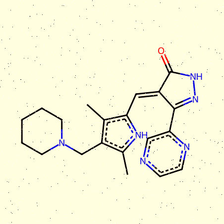 Cc1[nH]c(/C=C2/C(=O)NN=C2c2cnccn2)c(C)c1CN1CCCCC1